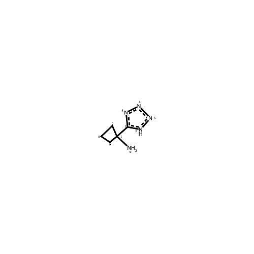 NC1(c2nnn[nH]2)CCC1